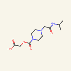 CC(C)NC(=O)CN1CCN(C(=O)OCC(=O)O)CC1